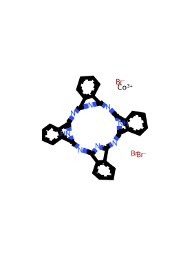 [Br-].[Br-].[Br-].[Co+3].c1ccc2c(c1)-c1nc-2nc2[nH]c(nc3nc(nc4[nH]c(n1)c1ccccc41)-c1ccccc1-3)c1ccccc21